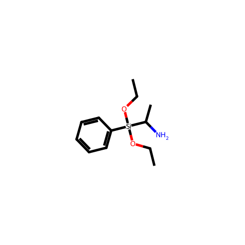 CCO[Si](OCC)(c1ccccc1)C(C)N